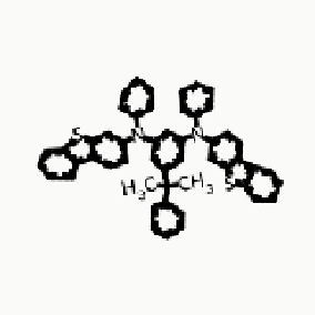 CC(C)(c1ccccc1)c1cc(N(c2ccccc2)c2ccc3c(c2)sc2ccccc23)cc(N(c2ccccc2)c2ccc3c(c2)sc2ccccc23)c1